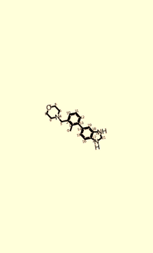 Cc1c(CN2CCOCC2)cccc1-c1ccc2c(c1)NCN2